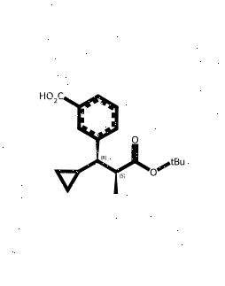 C[C@H](C(=O)OC(C)(C)C)[C@H](c1cccc(C(=O)O)c1)C1CC1